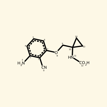 N#Cc1c(N)cccc1OCC1(NC(=O)O)CC1